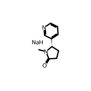 CN1C(=O)CC[C@H]1c1cccnc1.[NaH]